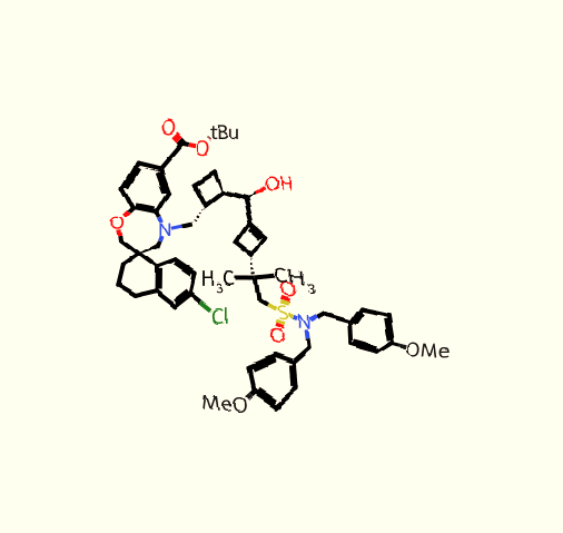 COc1ccc(CN(Cc2ccc(OC)cc2)S(=O)(=O)CC(C)(C)[C@H]2C=C([C@H](O)[C@@H]3CC[C@H]3CN3C[C@@]4(CCCc5cc(Cl)ccc54)COc4ccc(C(=O)OC(C)(C)C)cc43)C2)cc1